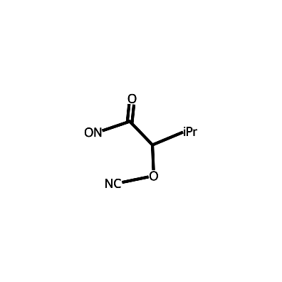 CC(C)C(OC#N)C(=O)N=O